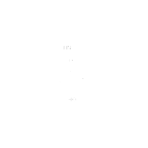 Cc1ccc(COC=N)c(C)c1CO